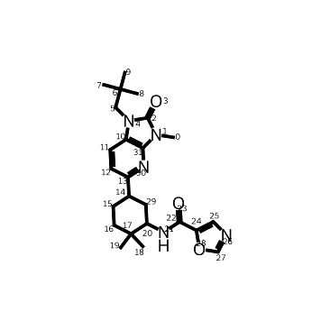 Cn1c(=O)n(CC(C)(C)C)c2ccc(C3CCC(C)(C)C(NC(=O)c4cnco4)C3)nc21